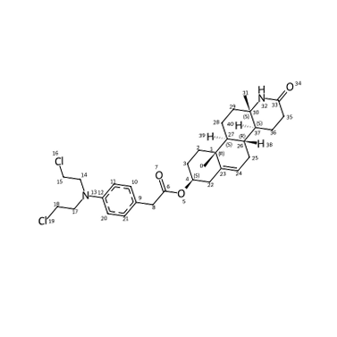 C[C@]12CC[C@H](OC(=O)Cc3ccc(N(CCCl)CCCl)cc3)CC1=CC[C@@H]1[C@@H]2CC[C@]2(C)NC(=O)CC[C@@H]12